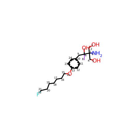 NC(CO)(CO)C(O)(I)Cc1ccc(OCCCCCCCF)cc1